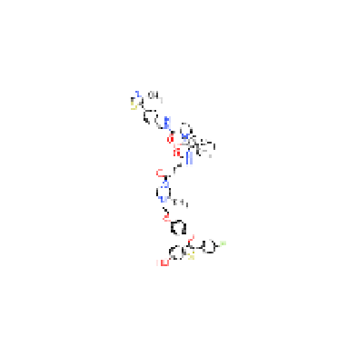 Cc1ncsc1-c1ccc(CNC(=O)[C@@H]2CCCN2C(=O)C(NC(=O)CCCC(=O)N2CCN(CCOc3ccc(Oc4c(-c5ccc(F)cc5)sc5cc(O)ccc45)cc3)[C@@H](C)C2)C(C)(C)C)cc1